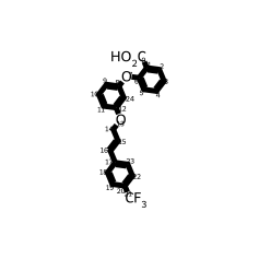 O=C(O)c1ccccc1Oc1cccc(OC/C=C/c2ccc(C(F)(F)F)cc2)c1